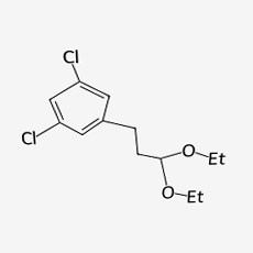 CCOC(CCc1cc(Cl)cc(Cl)c1)OCC